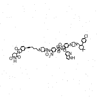 CC1(C)CCC(CN2CCN(c3ccc(C(=O)NS(=O)(=O)c4ccc(NCC5CCN(CCCCC#Cc6ccc7c(c6)CN(C6CCC(=O)NC6=O)C7=O)CC5)c([N+](=O)[O-])c4)c(Oc4cnc5[nH]ccc5c4)c3)CC2)=C(c2ccc(Cl)cc2)C1